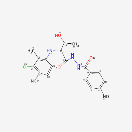 Cc1c(N[C@@H](C(=O)NNC(=O)c2ccc(N=O)cc2)[C@H](C)O)ccc(C#N)c1Cl